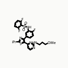 COCCCNc1nccc(-c2sc(C(C)C)nc2-c2ccc(F)c(NS(=O)(=O)c3c(F)cccc3F)c2)n1